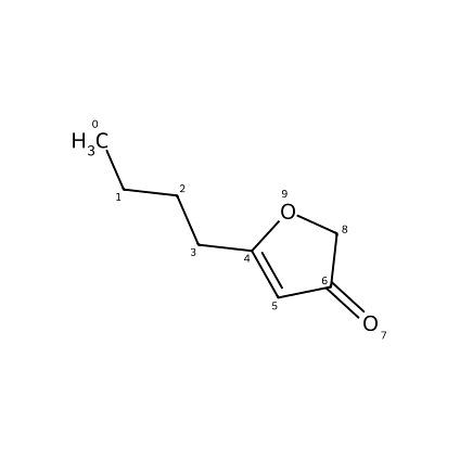 CCCCC1=CC(=O)CO1